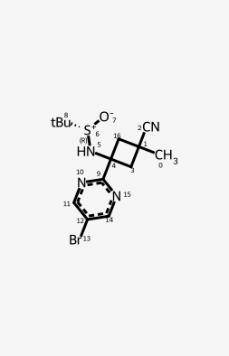 CC1(C#N)CC(N[S@@+]([O-])C(C)(C)C)(c2ncc(Br)cn2)C1